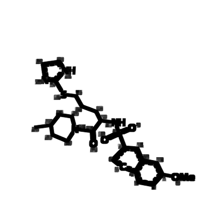 COc1ccc2ccc(S(=O)(=O)NC(CCCSc3ncc[nH]3)C(=O)N3CCC(C)CC3)cc2c1